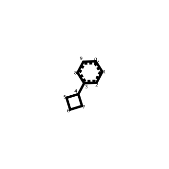 [c]1ccc(C2CCC2)cc1